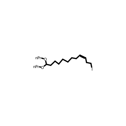 CCCOC(CCCCCCC/C=C\CCI)OCCC